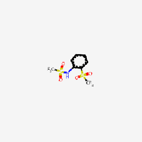 O=S(=O)(Nc1ccccc1S(=O)(=O)C(F)(F)F)C(F)(F)F